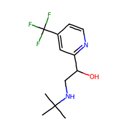 CC(C)(C)NCC(O)c1cc(C(F)(F)F)ccn1